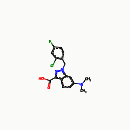 CN(C)c1ccc2c(C(=O)O)nn(Cc3ccc(F)cc3Cl)c2c1